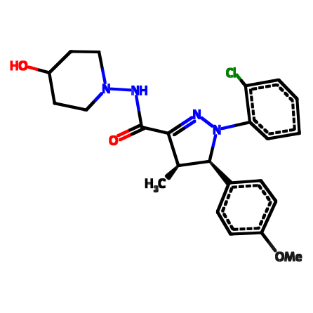 COc1ccc([C@H]2[C@@H](C)C(C(=O)NN3CCC(O)CC3)=NN2c2ccccc2Cl)cc1